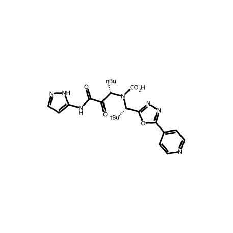 CCCC[C@@H](C(=O)C(=O)Nc1ccn[nH]1)N(C(=O)O)[C@H](c1nnc(-c2ccncc2)o1)C(C)(C)C